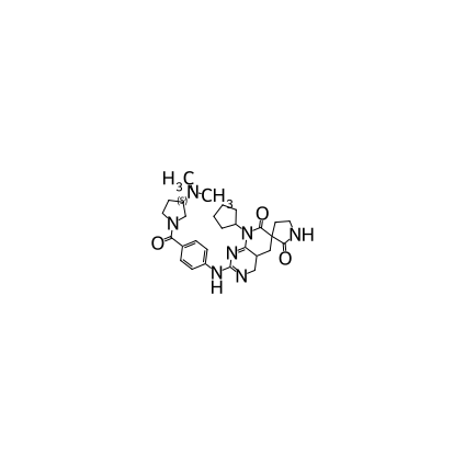 CN(C)[C@H]1CCN(C(=O)c2ccc(NC3=NCC4CC5(CCNC5=O)C(=O)N(C5CCCC5)C4=N3)cc2)C1